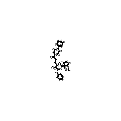 NC1(C(=O)N[C@H](Cc2ccccc2)C(=O)NCCC(=O)N2CCN(c3ccccn3)CC2)CCCC1